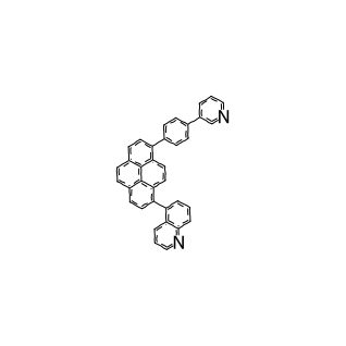 c1cncc(-c2ccc(-c3ccc4ccc5ccc(-c6cccc7ncccc67)c6ccc3c4c56)cc2)c1